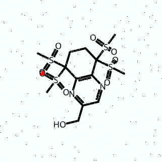 CS(=O)(=O)C1(S(C)(=O)=O)CCC(S(C)(=O)=O)(S(C)(=O)=O)c2nc(CO)cnc21